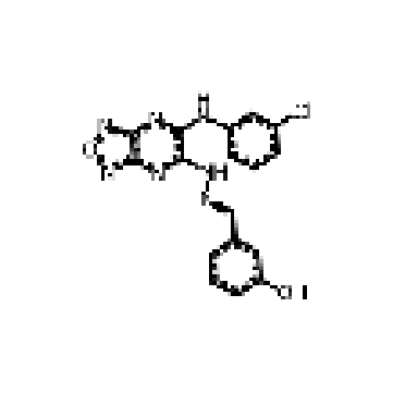 Oc1cccc(C=NNc2nc3nonc3nc2Nc2cccc(Cl)c2)c1